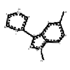 Cc1ccc2c(c1)c(-c1cnccn1)nn2C